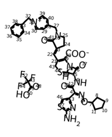 Nc1nc(C(=NOC2CCCC2)C(=O)N[C@@H]2C(=O)N3C(C(=O)[O-])=C(C=C4CCN(Cc5cc[n+](Cc6ccccc6)cc5)C4=O)CS[C@H]23)cs1.O=C(O)C(F)(F)F